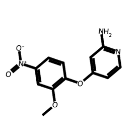 COc1cc([N+](=O)[O-])ccc1Oc1ccnc(N)c1